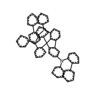 c1ccc(-c2ccccc2N(c2ccccc2)c2ccc3c(c2)-c2cccc(N(c4ccccc4)c4ccccc4-c4ccccc4)c2C32c3ccccc3N(c3ccccc3)c3ccccc32)cc1